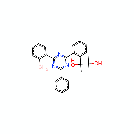 Bc1ccccc1-c1nc(-c2ccccc2)nc(-c2ccccc2C(C)(O)C(C)(C)O)n1